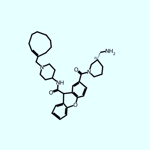 NC[C@@H]1CCCN(C(=O)c2ccc3c(c2)C(C(=O)NC2CCN(CC4=CCCCCCCC4)CC2)c2ccccc2O3)C1